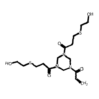 C=CC(=O)N1CN(C(=O)CCSCCO)CN(C(=O)CCSCCO)C1